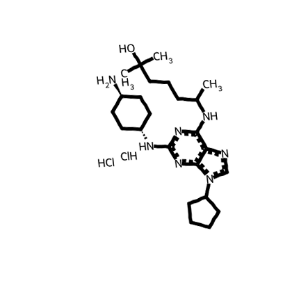 CC(CCCC(C)(C)O)Nc1nc(N[C@H]2CC[C@H](N)CC2)nc2c1ncn2C1CCCC1.Cl.Cl